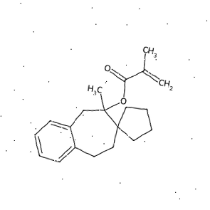 C=C(C)C(=O)OC1(C)Cc2ccccc2CCC12CCCC2